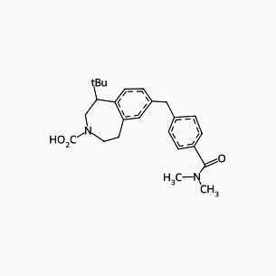 CN(C)C(=O)c1ccc(Cc2ccc3c(c2)CCN(C(=O)O)CC3C(C)(C)C)cc1